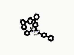 CCC(/N=C(\N=C(/N)c1ccccc1)c1ccc(C2(C3C=CC(c4cccc5ccccc45)=CC3)CCCCC2)cc1)c1ccc(-c2ccccc2)cc1